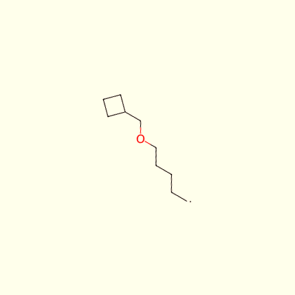 [CH2]CCCCOCC1CCC1